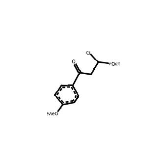 CCCCCCCCC(Cl)CC(=O)c1ccc(OC)cc1